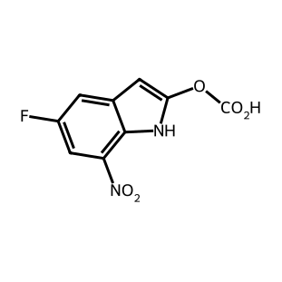 O=C(O)Oc1cc2cc(F)cc([N+](=O)[O-])c2[nH]1